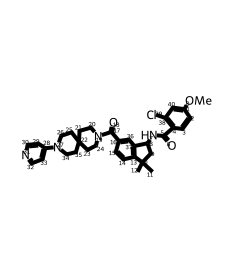 COc1ccc(C(=O)NC2CC(C)(C)c3ccc(C(=O)N4CCC5(CC4)CCN(c4ccncc4)CC5)cc32)c(Cl)c1